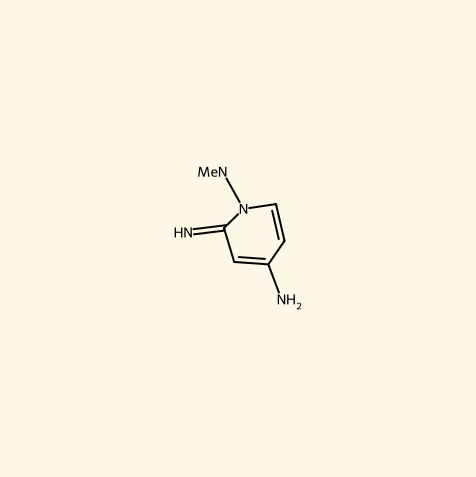 CNn1ccc(N)cc1=N